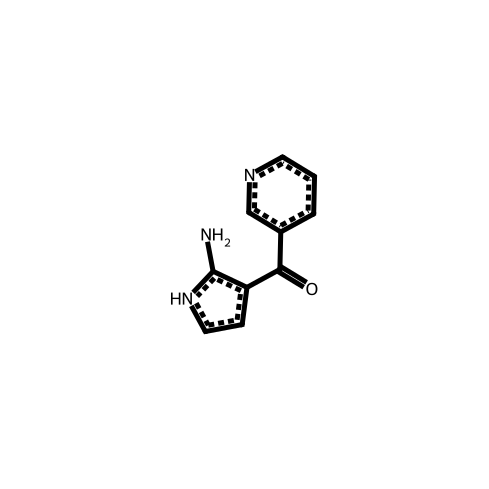 Nc1[nH]ccc1C(=O)c1cccnc1